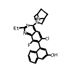 CCc1nc(N2CC3CCC(C2)N3)c2cc(Cl)c(-c3cc(O)cc4ccccc34)c(F)c2n1